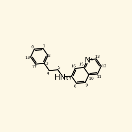 c1ccc(CCNc2ccc3cccnc3c2)cc1